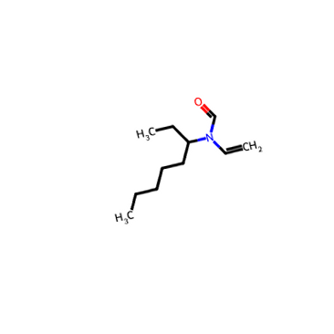 C=CN(C=O)C(CC)CCCCC